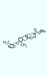 Cc1ncoc1COc1ccc2c(c1C)CCN(C[C@@H](O)CNC(=O)OC(C)(C)C)C2